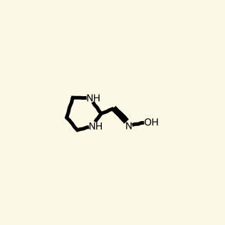 O/N=C/C1NCCCN1